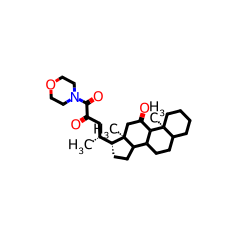 C[C@H](CC(=O)C(=O)N1CCOCC1)[C@H]1CCC2C3CCC4CCCC[C@]4(C)C3C(=O)C[C@@]21C